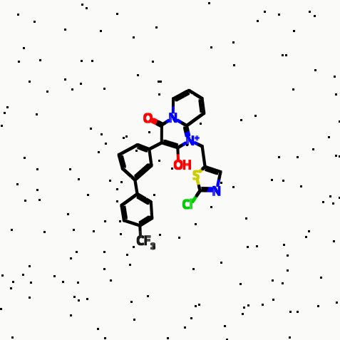 O=c1c(-c2cccc(-c3ccc(C(F)(F)F)cc3)c2)c(O)[n+](Cc2cnc(Cl)s2)c2ccccn12